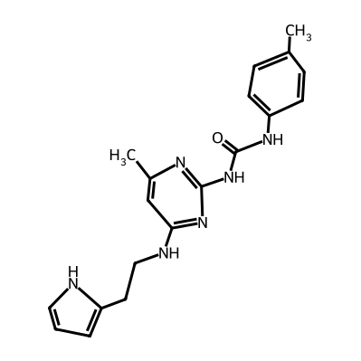 Cc1ccc(NC(=O)Nc2nc(C)cc(NCCc3ccc[nH]3)n2)cc1